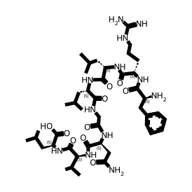 CC(C)C[C@H](NC(=O)[C@@H](NC(=O)[C@H](CC(N)=O)NC(=O)CNC(=O)[C@H](CC(C)C)NC(=O)[C@H](CC(C)C)NC(=O)[C@H](CCCNC(=N)N)NC(=O)[C@@H](N)Cc1ccccc1)C(C)C)C(=O)O